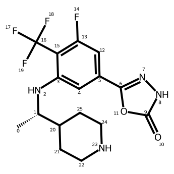 C[C@H](Nc1cc(-c2n[nH]c(=O)o2)cc(F)c1C(F)(F)F)C1CCNCC1